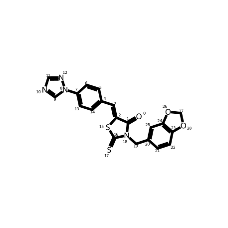 O=C1C(=Cc2ccc(-n3cncn3)cc2)SC(=S)N1Cc1ccc2c(c1)OCO2